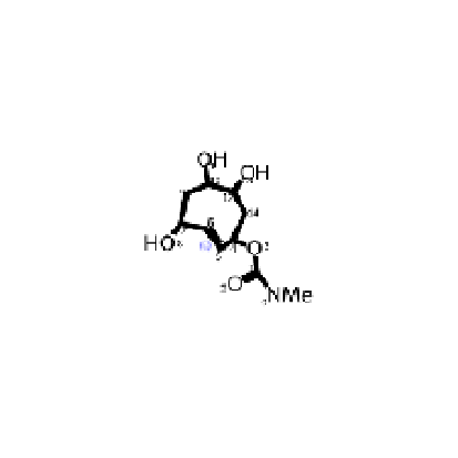 CNC(=O)OC1/C=C/C(O)CC(O)C(O)C1